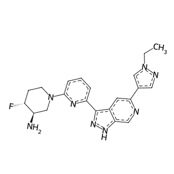 CCn1cc(-c2cc3c(-c4cccc(N5CC[C@@H](F)[C@H](N)C5)n4)n[nH]c3cn2)cn1